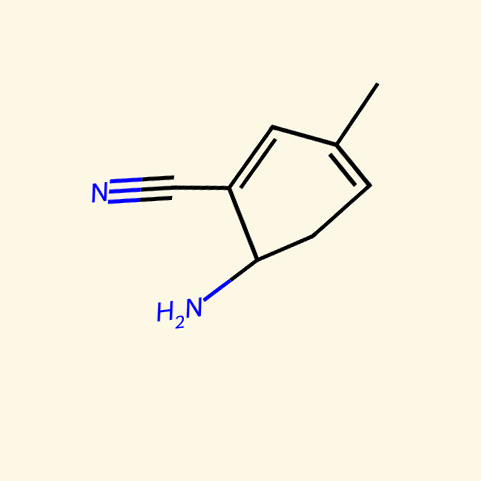 CC1=CCC(N)C(C#N)=C1